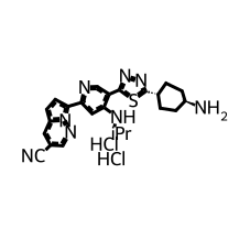 CC(C)Nc1cc(-c2ccc3cc(C#N)cnn23)ncc1-c1nnc([C@H]2CC[C@H](N)CC2)s1.Cl.Cl